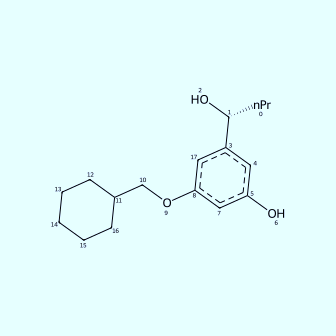 CCC[C@@H](O)c1cc(O)cc(OCC2CCCCC2)c1